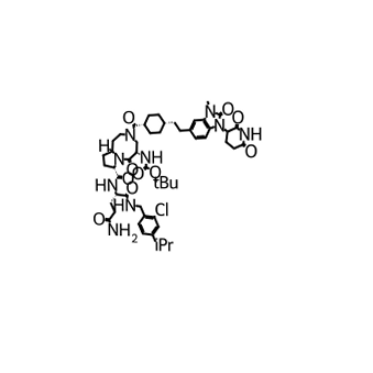 CC(C)c1ccc(CNC(=O)[C@H](CCC(N)=O)NC(=O)[C@@H]2CC[C@@H]3CCN(C(=O)[C@H]4CC[C@@H](CCc5ccc6c(c5)n(C)c(=O)n6C5CCC(=O)NC5=O)CC4)C[C@H](NC(=O)OC(C)(C)C)C(=O)N32)c(Cl)c1